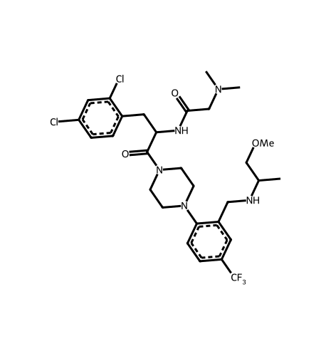 COCC(C)NCc1cc(C(F)(F)F)ccc1N1CCN(C(=O)C(Cc2ccc(Cl)cc2Cl)NC(=O)CN(C)C)CC1